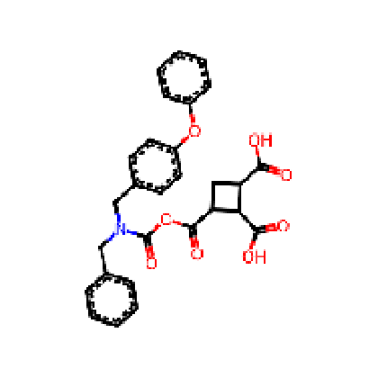 O=C(O)C1CC(C(=O)OC(=O)N(Cc2ccccc2)Cc2ccc(Oc3ccccc3)cc2)C1C(=O)O